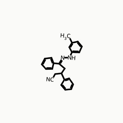 Cc1cccc(N/N=C(\CC(CC#N)c2ccccc2)c2ccccc2)c1